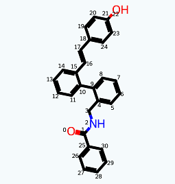 O=C(NCc1ccccc1-c1ccccc1/C=C/c1ccc(O)cc1)c1ccccc1